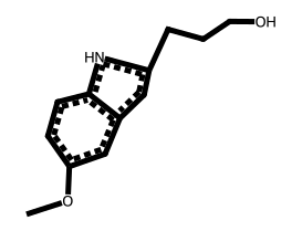 COc1ccc2[nH]c(CCCO)cc2c1